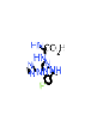 C[C@H](Nc1nc(N/C=C(\C=N)C(=O)O)cc(Nc2cnccn2)n1)c1ccc(F)cc1